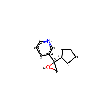 c1cncc(C2(C3CCCC3)CO2)c1